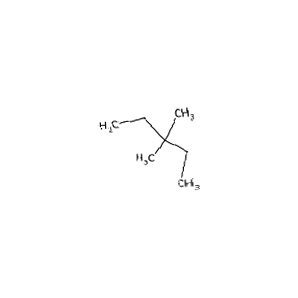 [CH2]CC(C)(C)CC